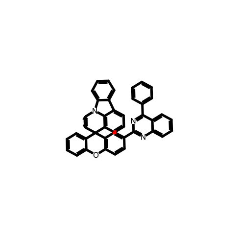 c1ccc(-c2nc(-c3ccc4c(c3)C3(c5ccccc5O4)c4ccccc4-n4c5ccccc5c5cccc3c54)nc3ccccc23)cc1